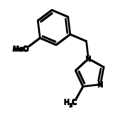 COc1cccc(Cn2cnc(C)c2)c1